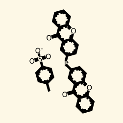 Cc1ccc(S(=O)(=O)[O-])cc1.O=c1c2ccccc2oc2ccc([I+]c3ccc4oc5ccccc5c(=O)c4c3)cc12